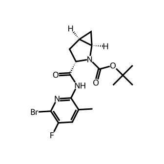 Cc1cc(F)c(Br)nc1NC(=O)[C@@H]1C[C@H]2C[C@H]2N1C(=O)OC(C)(C)C